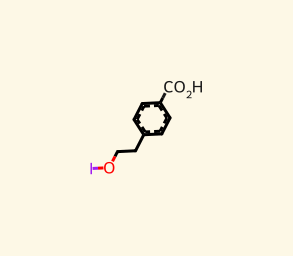 O=C(O)c1ccc(CCOI)cc1